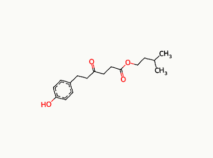 CC(C)CCOC(=O)CCC(=O)CCc1ccc(O)cc1